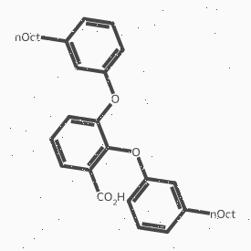 CCCCCCCCc1cccc(Oc2cccc(C(=O)O)c2Oc2cccc(CCCCCCCC)c2)c1